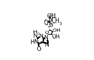 CP(=O)(O)OC[C@H]1O[C@@H](n2cnc3c(=O)[nH]c(N)nc32)C(O)C1O